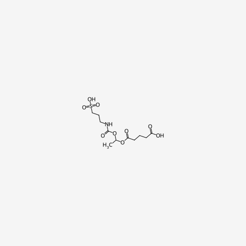 CC(OC(=O)CCCC(=O)O)OC(=O)NCCCS(=O)(=O)O